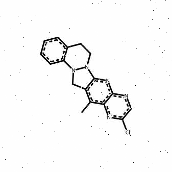 Cc1c2c(nc3ncc(Cl)nc13)N1CCc3ccccc3N1C2